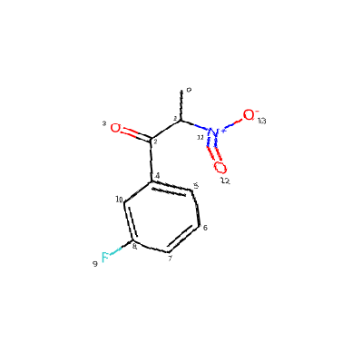 CC(C(=O)c1cccc(F)c1)[N+](=O)[O-]